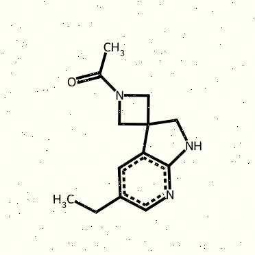 CCc1cnc2c(c1)C1(CN2)CN(C(C)=O)C1